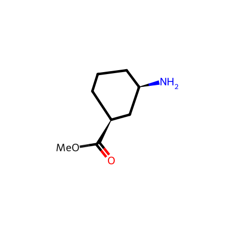 COC(=O)[C@H]1CCC[C@@H](N)C1